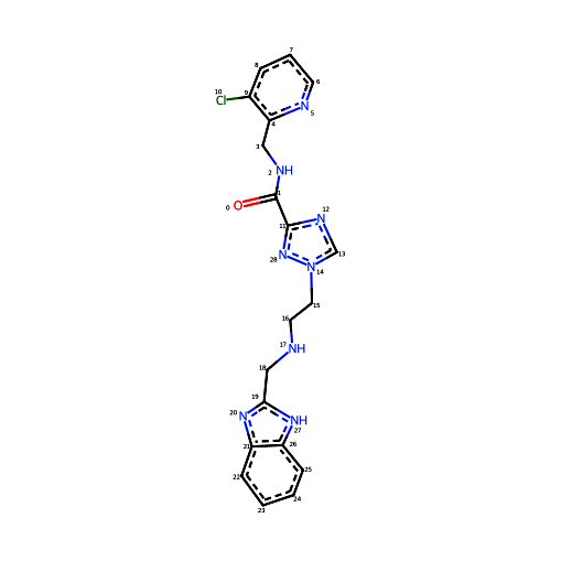 O=C(NCc1ncccc1Cl)c1ncn(CCNCc2nc3ccccc3[nH]2)n1